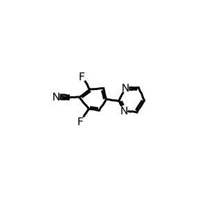 N#Cc1c(F)cc(-c2ncccn2)cc1F